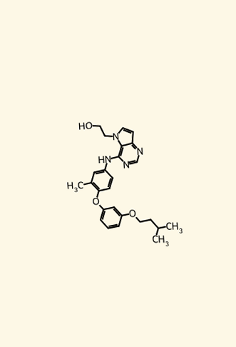 Cc1cc(Nc2ncnc3ccn(CCO)c23)ccc1Oc1cccc(OCCC(C)C)c1